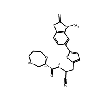 Cn1c(=O)oc2ccc(-c3ccc(CC(C#N)NC(=O)[C@@H]4CNCCCO4)s3)cc21